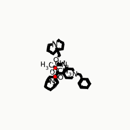 CC(C)(C)OC(=O)N1C2C=C(c3nc(OCC45CCCN4CCC5)nc4c3CCN(Cc3ccccc3)C4)CC1CC2